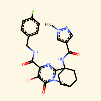 Cn1cc(C(=O)NC23CCC(CC2)Cn2c3nc(C(=O)NCc3ccc(F)cc3)c(O)c2=O)cn1